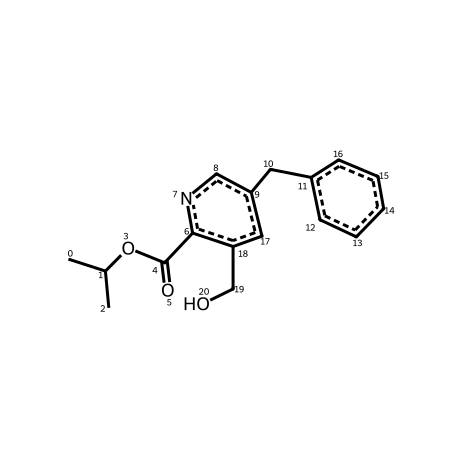 CC(C)OC(=O)c1ncc(Cc2ccccc2)cc1CO